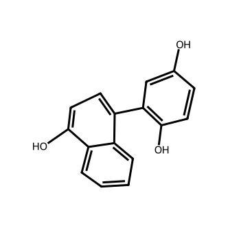 Oc1ccc(O)c(-c2ccc(O)c3ccccc23)c1